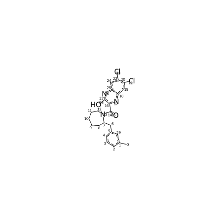 Cc1cccc(CC2CCCCCN2C(=O)c2nc3cc(Cl)c(Cl)cc3nc2O)c1